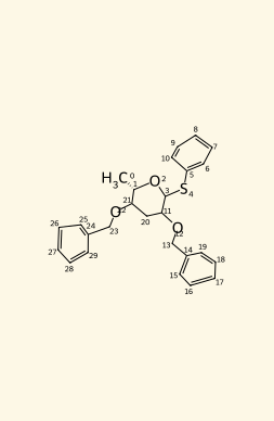 C[C@@H]1OC(Sc2ccccc2)C(OCc2ccccc2)CC1OCc1ccccc1